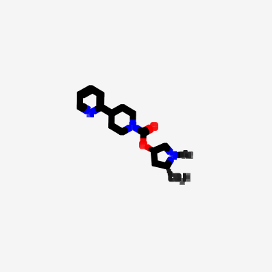 CC(=O)N1C[C@H](OC(=O)N2CCC(c3ccccn3)CC2)C[C@H]1C(=O)O